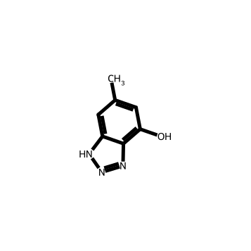 Cc1cc(O)c2nn[nH]c2c1